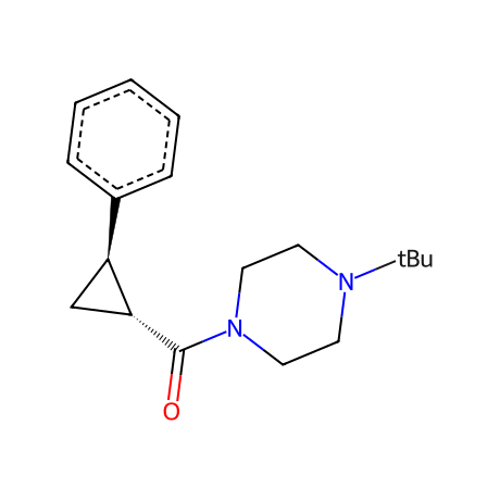 CC(C)(C)N1CCN(C(=O)[C@@H]2C[C@H]2c2ccccc2)CC1